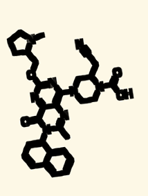 Cc1nc2c(N3CCN(C(=O)O)C(CC#N)C3)nc(OCC3CCCN3C)nc2c(=O)n1-c1cccc2ccccc12